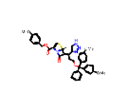 COc1ccc(COC(=O)C2=CS[C@@H]3C(=C(CCOC(c4ccccc4)(c4ccc(OC)cc4)c4ccc(OC)cc4)c4c[nH]nn4)C(=O)N23)cc1